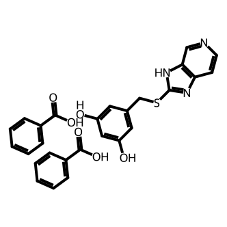 O=C(O)c1ccccc1.O=C(O)c1ccccc1.Oc1cc(O)cc(CSc2nc3ccncc3[nH]2)c1